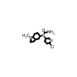 Cn1ccc2cc(N(C(N)=O)c3ccc(Cl)nc3)ccc21